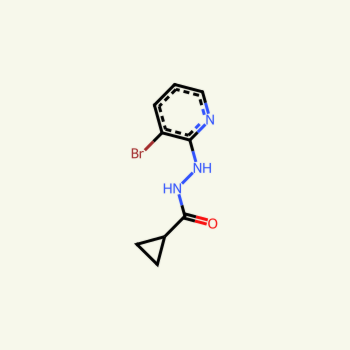 O=C(NNc1ncccc1Br)C1CC1